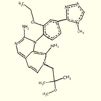 CCOc1cc(-c2nncn2C)ccc1N1C(N)=NC=C2C=CN(CC(C)(C)OC)C(N)=C21